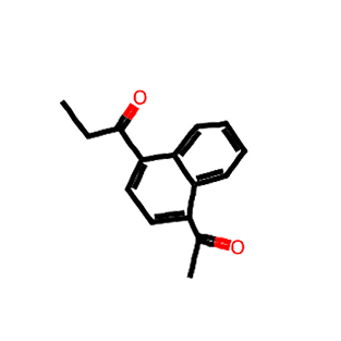 CCC(=O)c1ccc(C(C)=O)c2ccccc12